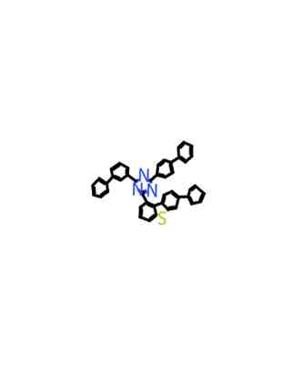 c1ccc(-c2ccc(-c3nc(-c4cccc(-c5ccccc5)c4)nc(-c4cccc5sc6cc(-c7ccccc7)ccc6c45)n3)cc2)cc1